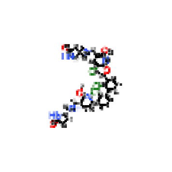 COc1nc(-c2cccc(-c3cccc(COc4nc(OC)c(CN5CC6(CNC(=O)C6)C5)cc4Cl)c3Cl)c2Cl)ccc1CNC[C@@H]1CCC(=O)N1